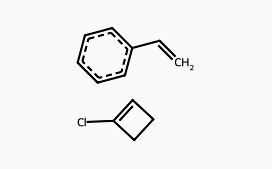 C=Cc1ccccc1.ClC1=CCC1